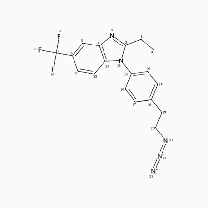 CCc1nc2cc(C(F)(F)F)ccc2n1-c1ccc(CCN=[N+]=[N-])cc1